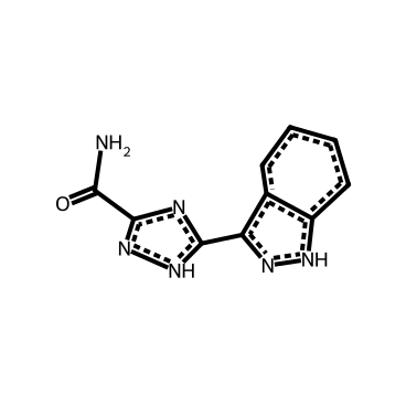 NC(=O)c1n[nH]c(-c2n[nH]c3ccccc23)n1